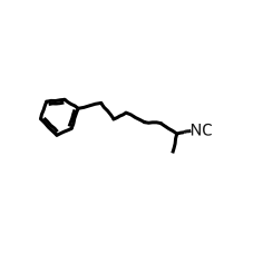 [C-]#[N+]C(C)CCCCCc1ccccc1